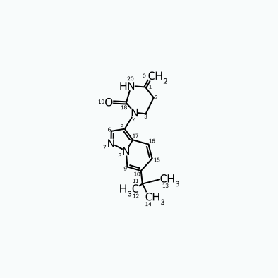 C=C1CCN(c2cnn3cc(C(C)(C)C)ccc23)C(=O)N1